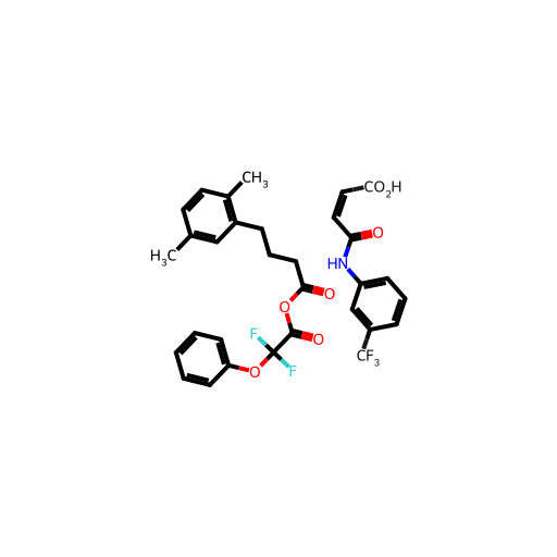 Cc1ccc(C)c(CCCC(=O)OC(=O)C(F)(F)Oc2ccccc2)c1.O=C(O)/C=C\C(=O)Nc1cccc(C(F)(F)F)c1